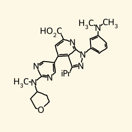 CC(C)c1nn(-c2cccc(N(C)C)c2)c2nc(C(=O)O)cc(-c3cnc(N(C)C4CCOCC4)nc3)c12